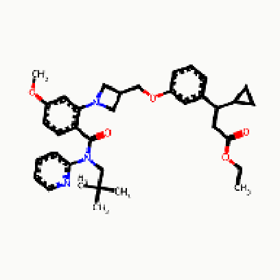 CCOC(=O)CC(c1cccc(OCC2CN(c3cc(OC)ccc3C(=O)N(CC(C)(C)C)c3ccccn3)C2)c1)C1CC1